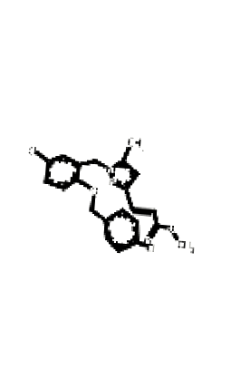 COC(=O)C=Cc1cc(C)n(Cc2cc(Cl)ccc2OCc2ccc(Cl)cc2)n1